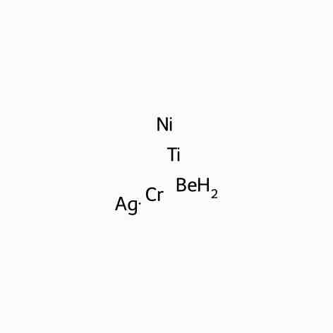 [Ag].[BeH2].[Cr].[Ni].[Ti]